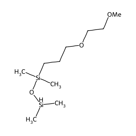 COCCOCCC[Si](C)(C)O[SiH](C)C